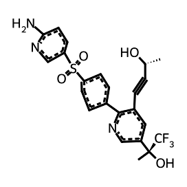 C[C@@H](O)C#Cc1cc([C@@](C)(O)C(F)(F)F)cnc1-c1ccc(S(=O)(=O)c2ccc(N)nc2)cc1